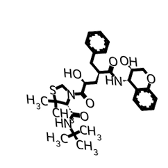 CC(C)(C)NC(=O)[C@H]1N(C(=O)[C@@H](O)C[C@@H](Cc2ccccc2)C(=O)N[C@H]2c3ccccc3OC[C@H]2O)CSC1(C)C